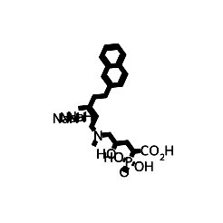 CC(=CCN(C)CC(O)CC(C(=O)O)P(=O)(O)O)CCc1ccc2ccccc2c1.[NaH].[NaH].[NaH]